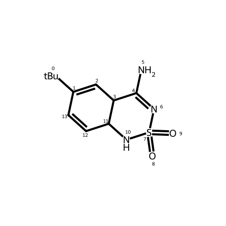 CC(C)(C)C1=CC2C(N)=NS(=O)(=O)NC2C=C1